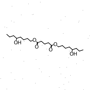 CCCC(O)CCCCOC(=O)CCCC(=O)OCCCCC(O)CCC